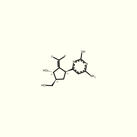 Nc1cc([C@H]2C[C@@H](CO)[C@H](O)C2=C(F)F)nc(O)n1